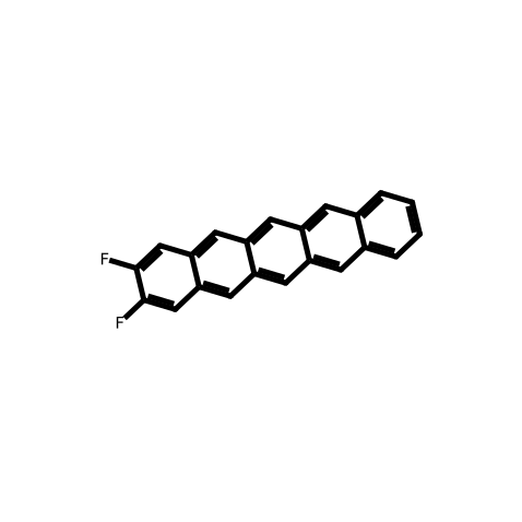 Fc1cc2cc3cc4cc5ccccc5cc4cc3cc2cc1F